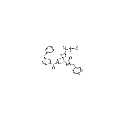 Cc1ccc(CNC(=O)[C@@H]2CN(C(=O)c3cnn(Cc4ccccc4)c3)CC23CN(C(=O)C(C)(C)C2CC2)C3)nn1